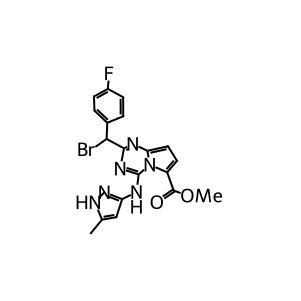 COC(=O)c1ccc2nc(C(Br)c3ccc(F)cc3)nc(Nc3cc(C)[nH]n3)n12